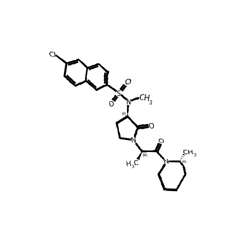 C[C@@H]1CCCCN1C(=O)[C@@H](C)N1CC[C@@H](N(C)S(=O)(=O)c2ccc3cc(Cl)ccc3c2)C1=O